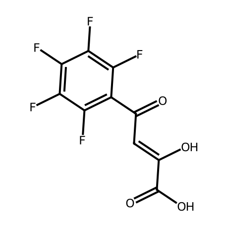 O=C(O)C(O)=CC(=O)c1c(F)c(F)c(F)c(F)c1F